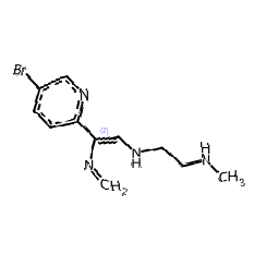 C=N/C(=C\NCCNC)c1ccc(Br)cn1